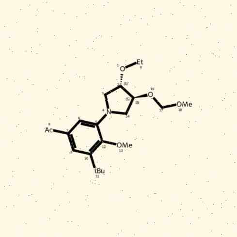 CCO[C@H]1CN(c2cc(C(C)=O)cc(C(C)(C)C)c2OC)C[C@@H]1OCOC